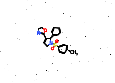 Cc1ccc(S(=O)(=O)N2CC=C(C3=NCCO3)C2c2ccccc2)cc1